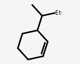 C[CH]C(C)C1C=CCCC1